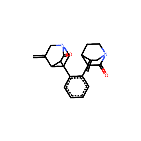 C=C1CN2CCC1C(c1ccccc1C1C(=O)N3CCC1C(=C)C3)C2=O